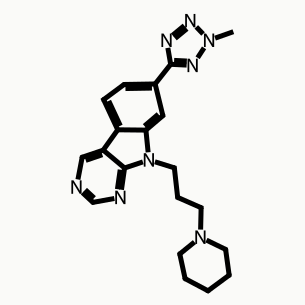 Cn1nnc(-c2ccc3c4cncnc4n(CCCN4CCCCC4)c3c2)n1